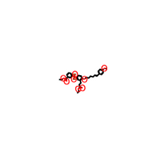 CCOC(=O)CCc1cc(S(=O)(=O)c2cccc(C(=O)OCC)c2)ccc1OCCCC/C=C/c1ccc(OC)cc1